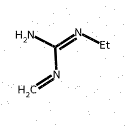 C=N/C(N)=N\CC